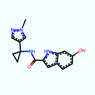 Cn1cc(C2(NC(=O)c3cc4ccc(O)cc4[nH]3)CC2)cn1